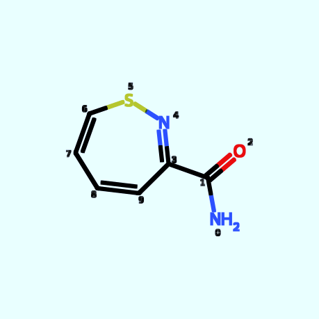 NC(=O)C1=NSC=CC=C1